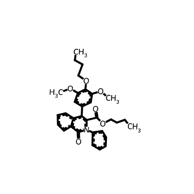 CCCCOC(=O)c1c(-c2cc(OC)c(OCCCC)c(OC)c2)c2ccccc2c(=O)n1-c1ccccc1